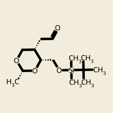 C[C@@H]1OC[C@H](CC=O)[C@H](CO[Si](C)(C)C(C)(C)C)O1